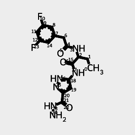 CCC(NC(=O)Cc1cc(F)cc(F)c1)C(=O)Nc1cc(C(=O)NN)n[nH]1